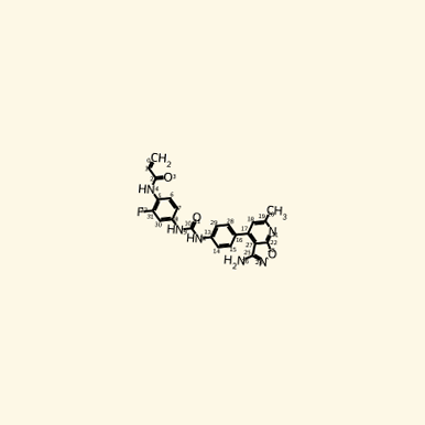 C=CC(=O)Nc1ccc(NC(=O)Nc2ccc(-c3cc(C)nc4onc(N)c34)cc2)cc1F